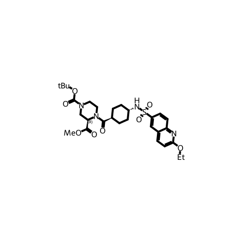 CCOc1ccc2cc(S(=O)(=O)N[C@H]3CC[C@H](C(=O)N4CCN(C(=O)OC(C)(C)C)C[C@@H]4C(=O)OC)CC3)ccc2n1